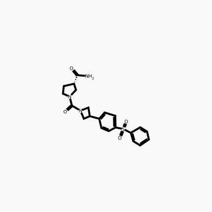 NC(=O)[C@H]1CCN(C(=O)N2CC(c3ccc(S(=O)(=O)c4ccccc4)cc3)C2)C1